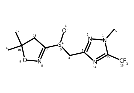 Cn1nc(C[S+]([O-])C2=NOC(C)(C)C2)nc1C(F)(F)F